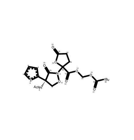 CC(=O)N[C@@]1(c2cccs2)CON(C2(C(=O)OCOC(=O)C(C)(C)C)CCC(=O)O2)C1=O